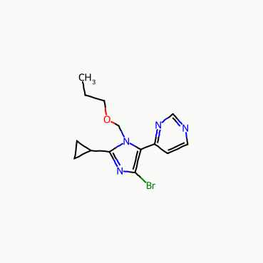 CCCOCn1c(C2CC2)nc(Br)c1-c1ccncn1